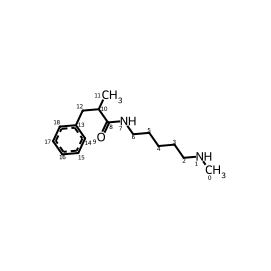 CNCCCCCNC(=O)C(C)Cc1ccccc1